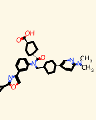 CN(C)c1ccc([C@H]2CC[C@H](CN(c3cccc(-c4coc(C5CC5)n4)c3)C(=O)[C@H]3CC[C@H](C(=O)O)CC3)CC2)cn1